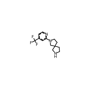 FC(F)(F)c1ccnc(N2CCC3(CCNC3)C2)c1